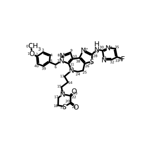 COc1ccc(Cn2ncc3c2N(CCCN2CCSC(=O)C2=O)CCc2sc(Nc4ncc(F)cn4)nc2-3)cc1